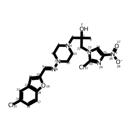 CC(O)(CN1CCN(N=Cc2cc3cc(Cl)ccc3o2)CC1)Cn1cc([N+](=O)[O-])nc1Cl